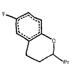 CC(C)C1CCc2cc(F)ccc2O1